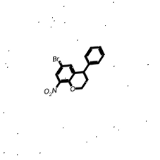 O=[N+]([O-])c1cc(Br)cc2c1OCCC2c1ccccc1